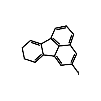 Ic1cc2c3c(cccc3c1)C1=CCCC=C12